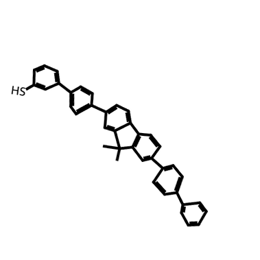 CC1(C)c2cc(-c3ccc(-c4ccccc4)cc3)ccc2-c2ccc(-c3ccc(-c4cccc(S)c4)cc3)cc21